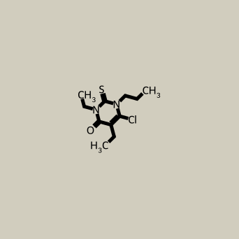 CCCn1c(Cl)c(CC)c(=O)n(CC)c1=S